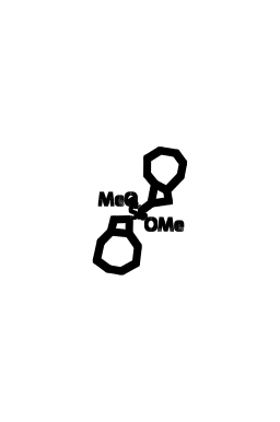 CO[Si](OC)(C1CC2CCCCCCC21)C1CC2CCCCCCC21